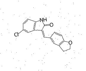 O=C1Nc2ccc(Cl)cc2C1=Cc1ccc2c(c1)CCO2